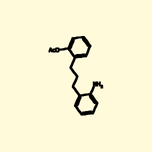 CC(=O)Oc1ccccc1CCCc1ccccc1N